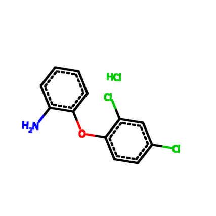 Cl.Nc1ccccc1Oc1ccc(Cl)cc1Cl